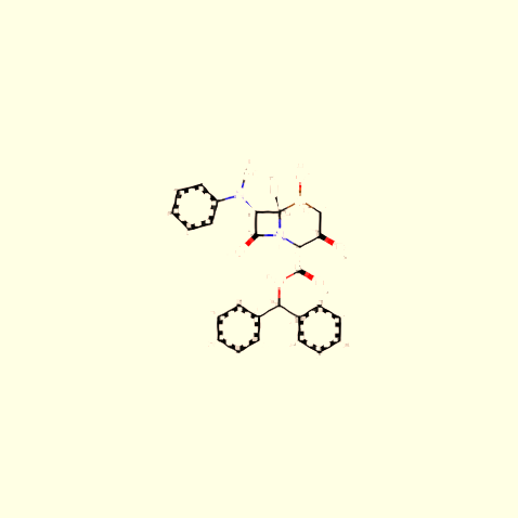 CC(=O)N(c1ccccc1)[C@@H]1C(=O)N2[C@@H](C(=O)OC(c3ccccc3)c3ccccc3)C(=O)C[S+]([O-])[C@@H]12